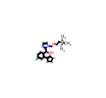 C[Si](C)(C)CCOCn1ccnc1C(O)c1ccc(F)cc1C1=CCCC1